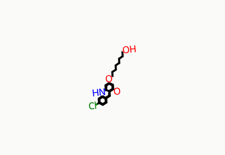 O=c1cc(OCCCCCCCCO)cc2[nH]c3cc(Cl)ccc3cc1-2